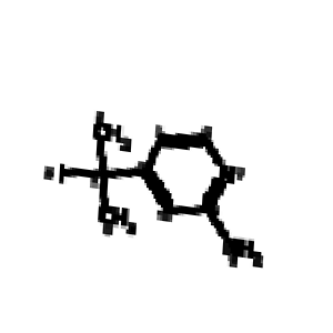 CC(C)(I)c1ccnc(N)c1